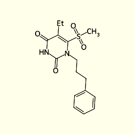 CCc1c(S(C)(=O)=O)n(CCCc2ccccc2)c(=O)[nH]c1=O